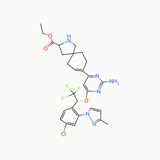 CCOC(=O)C1CC2(CC=C(c3cc(O[C@H](c4ccc(Cl)cc4-n4ccc(C)n4)C(F)(F)F)nc(N)n3)CC2)CN1